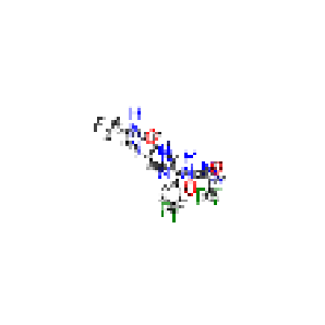 O=C(NC(c1cn2ncc(CN3C[C@@H](C(F)(F)F)NC3=O)cc2n1)C1CCC(F)(F)CC1)c1nonc1C(F)F